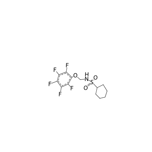 O=S(=O)(NCOc1c(F)c(F)c(F)c(F)c1F)C1CCCCC1